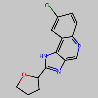 Clc1ccc2ncc3nc(C4CCCO4)[nH]c3c2c1